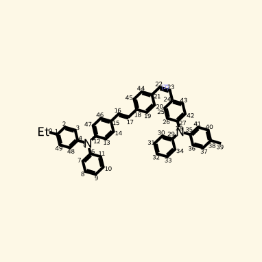 CCc1ccc(N(c2ccccc2)c2ccc(C=Cc3ccc(/C=C\c4ccc(N(c5ccccc5)c5ccc(C)cc5)cc4)cc3)cc2)cc1